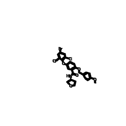 COc1ccc(COc2ccc(Oc3c(Cl)cc(Br)cc3Cl)cc2C(=O)N[C@H]2CCOC2)cc1